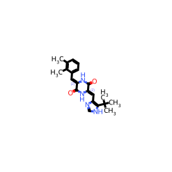 Cc1cccc(/C=c2\[nH]c(=O)/c(=C/c3nc[nH]c3C(C)(C)C)[nH]c2=O)c1C